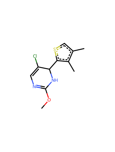 COC1=NC=C(Cl)C(c2scc(C)c2C)N1